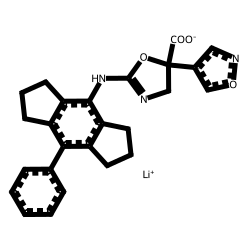 O=C([O-])C1(c2cnoc2)CN=C(Nc2c3c(c(-c4ccccc4)c4c2CCC4)CCC3)O1.[Li+]